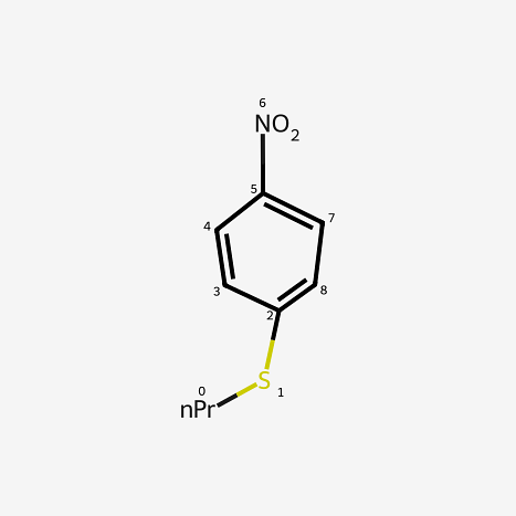 CCCSc1ccc([N+](=O)[O-])cc1